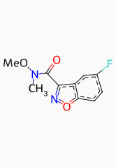 CON(C)C(=O)c1noc2ccc(F)cc12